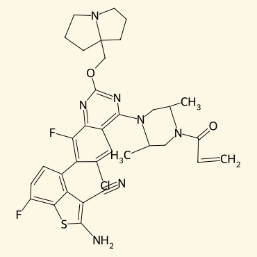 C=CC(=O)N1CC(C)N(c2nc(OCC34CCCN3CCC4)nc3c(F)c(-c4ccc(F)c5sc(N)c(C#N)c45)c(Cl)cc23)CC1C